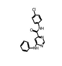 O=C(Nc1ccc(Cl)cc1)c1cc(Nc2ccccc2)ncn1